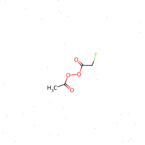 CC(=O)OOC(=O)CF